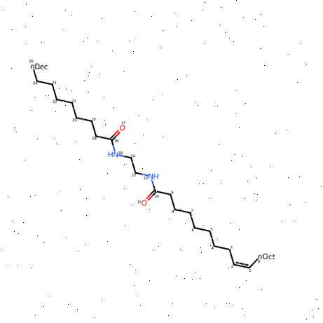 CCCCCCCC/C=C\CCCCCCCC(=O)NCCNC(=O)CCCCCCCCCCCCCCCCC